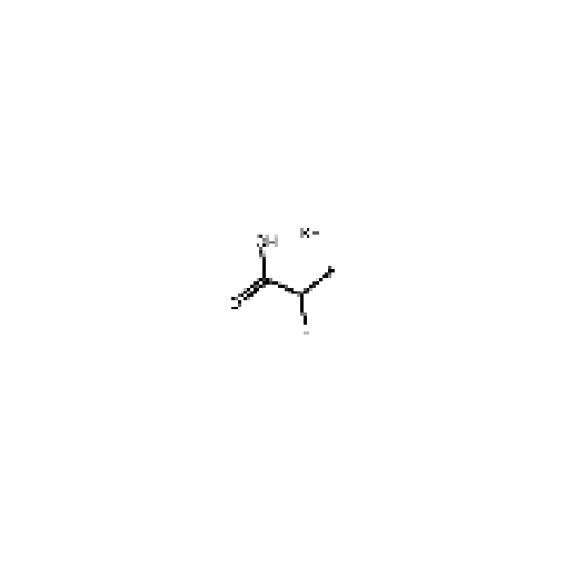 O=C(O)C(F)F.[KH]